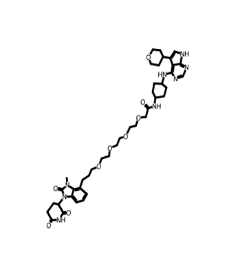 Cn1c(=O)n(C2CCC(=O)NC2=O)c2cccc(CCCOCCOCCOCCOCC(=O)NC3CCC(Nc4ncnc5[nH]cc(C6CCOCC6)c45)CC3)c21